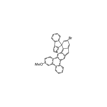 COc1ccc2c(c1)c1ccccc1c1cc3c(cc21)=C1C(=CC(Br)=CC12c1ccccc1-c1ccccc12)C=3